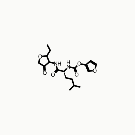 CCC1OCC(=O)C1NC(=O)[C@H](CCC(C)C)NC(=O)Oc1ccoc1